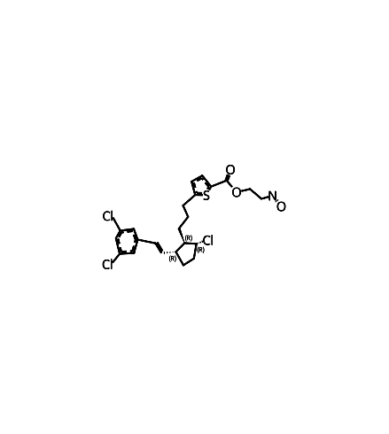 O=NCCOC(=O)c1ccc(CCC[C@H]2[C@H](Cl)CC[C@@H]2C=Cc2cc(Cl)cc(Cl)c2)s1